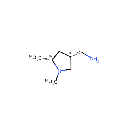 NC[C@H]1C[C@@H](C(=O)O)N(C(=O)O)C1